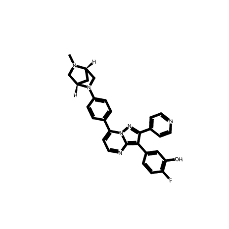 CN1C[C@@H]2C[C@H]1CN2c1ccc(-c2ccnc3c(-c4ccc(F)c(O)c4)c(-c4ccncc4)nn23)cc1